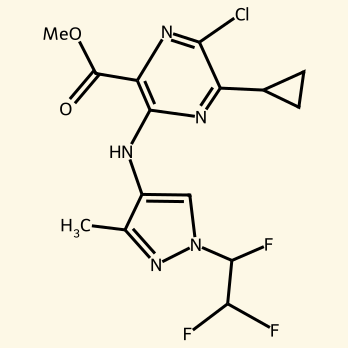 COC(=O)c1nc(Cl)c(C2CC2)nc1Nc1cn(C(F)C(F)F)nc1C